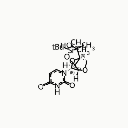 C[C@H](O)[C@]12CO[C@H]([C@H](n3ccc(=O)[nH]c3=O)O1)[C@H]2O[Si](C)(C)C(C)(C)C